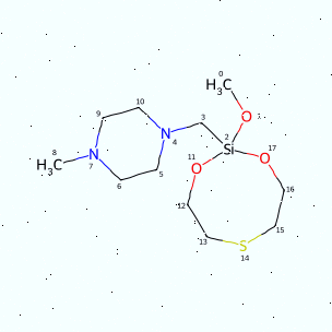 CO[Si]1(CN2CCN(C)CC2)OCCSCCO1